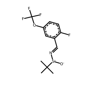 CC(C)(C)[S+]([O-])N=Cc1cc(OC(F)(F)F)ccc1F